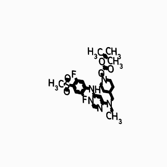 CCN(CC1CCN(OC(=O)OC(C)(C)C)CC1)c1cc(Nc2cc(F)c(S(C)(=O)=O)cc2F)ncn1